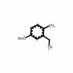 COc1ccc(C)c(CC#N)c1